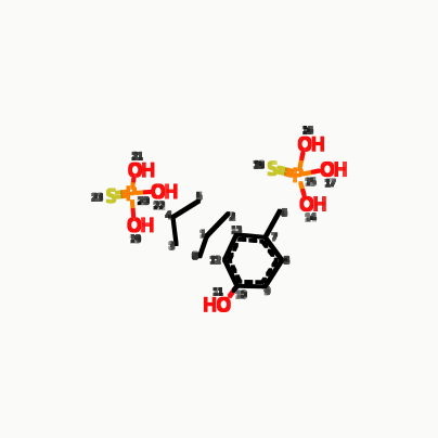 CCC.CCC.Cc1ccc(O)cc1.OP(O)(O)=S.OP(O)(O)=S